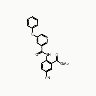 COC(=O)c1cc(C#N)ccc1NC(=O)c1cncc(Oc2ccccc2)c1